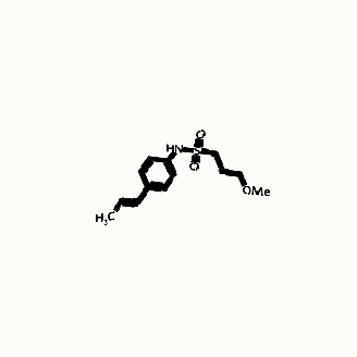 C/C=C/c1ccc(NS(=O)(=O)CCCOC)cc1